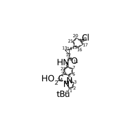 CC(C)(C)c1ccn(-c2ccc(NC(=O)C3CC3c3ccc(Cl)cc3)cc2C(=O)O)n1